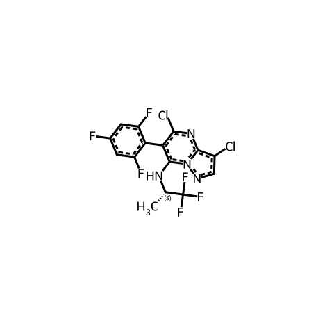 C[C@H](Nc1c(-c2c(F)cc(F)cc2F)c(Cl)nc2c(Cl)cnn12)C(F)(F)F